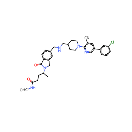 CC(CCC(=O)NC=O)N1Cc2cc(CNCC3CCN(c4ncc(-c5cccc(Cl)c5)cc4C#N)CC3)ccc2C1=O